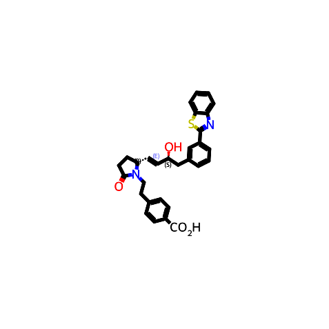 O=C(O)c1ccc(CCN2C(=O)CC[C@@H]2/C=C/[C@@H](O)Cc2cccc(-c3nc4ccccc4s3)c2)cc1